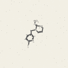 O=[N+]([O-])N=C1NCC=CN1Cc1ccc(F)nc1